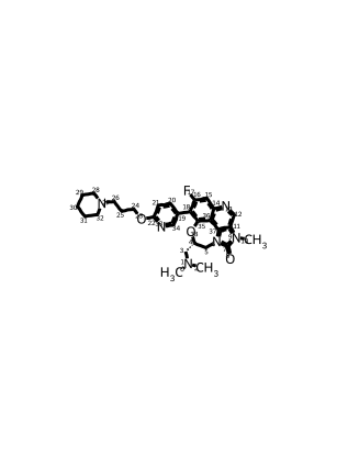 CN(C)C[C@H]1Cn2c(=O)n(C)c3cnc4cc(F)c(-c5ccc(OCCCN6CCCCC6)nc5)c(c4c32)O1